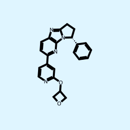 c1ccc([C@H]2CCc3nc4ccc(-c5ccnc(OC6COC6)c5)nc4n32)cc1